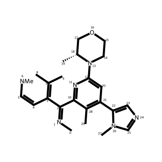 C/N=C(/C(/C=C\NC)=C(C)C)c1nc(N2CCOC[C@H]2C)cc(-c2cncn2C)c1C